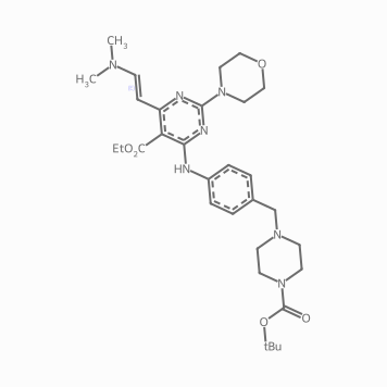 CCOC(=O)c1c(/C=C/N(C)C)nc(N2CCOCC2)nc1Nc1ccc(CN2CCN(C(=O)OC(C)(C)C)CC2)cc1